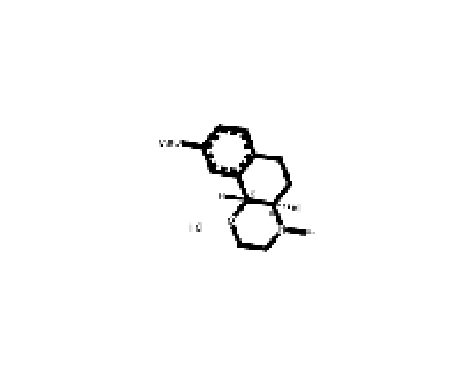 CCN1CCO[C@@H]2c3cc(OC)ccc3CC[C@H]21.Cl